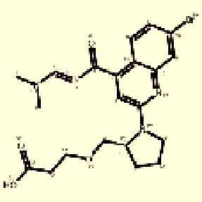 CN(C)/C=N/C(=O)c1cc(N2CCC[C@H]2COCCC(=O)O)nc2cc(Br)ccc12